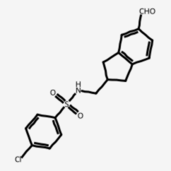 O=Cc1ccc2c(c1)CC(CNS(=O)(=O)c1ccc(Cl)cc1)C2